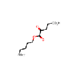 CCCCCCCCCCCCOC(=O)C(=O)CCC(=O)O